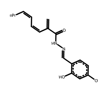 C=C(/C=C\C=C/CCC)C(=O)N/N=C/c1ccc(O)cc1O